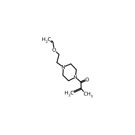 C=COCCN1CCN(C(=O)C(=C)C)CC1